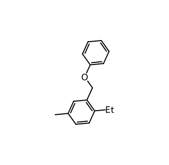 CCc1ccc(C)cc1COc1ccccc1